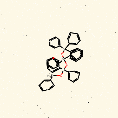 c1ccc([SiH2]O[Si](O[Si](O[Si](c2ccccc2)(c2ccccc2)c2ccccc2)(c2ccccc2)c2ccccc2)(c2ccccc2)c2ccccc2)cc1